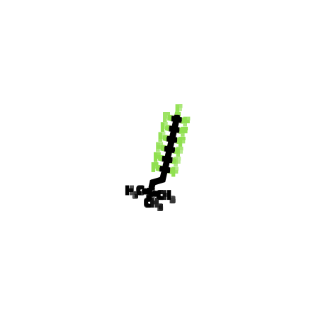 C[Si](C)(C)CCC(F)(F)C(F)(F)C(F)(F)C(F)(F)C(F)(F)C(F)(F)F